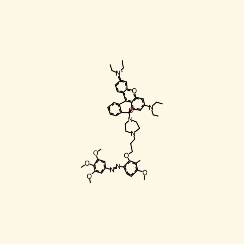 CCN(CC)c1ccc2c(-c3ccccc3C(=O)N3CCN(CCCOc4c(N=Nc5cc(OC)c(OC)c(OC)c5)ccc(OC)c4C)CC3)c3ccc(=[N+](CC)CC)cc-3oc2c1